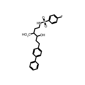 O=C(O)C(CCNS(=O)(=O)c1ccc(F)cc1)C(O)CCc1ccc(-c2ccccc2)cc1